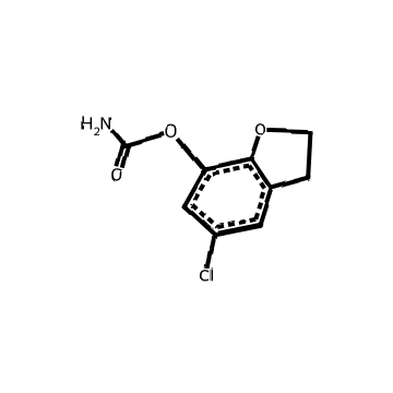 NC(=O)Oc1cc(Cl)cc2c1OCC2